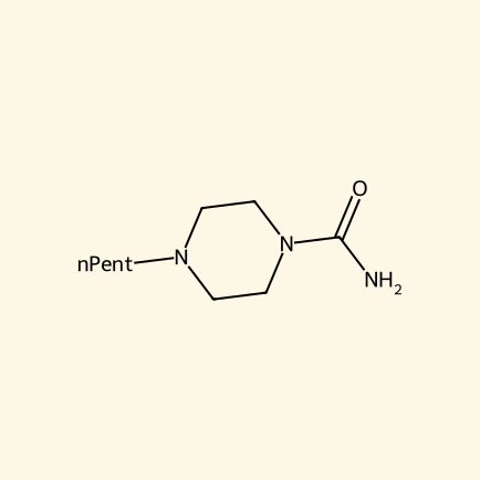 CCCCCN1CCN(C(N)=O)CC1